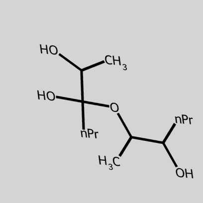 CCCC(O)C(C)OC(O)(CCC)C(C)O